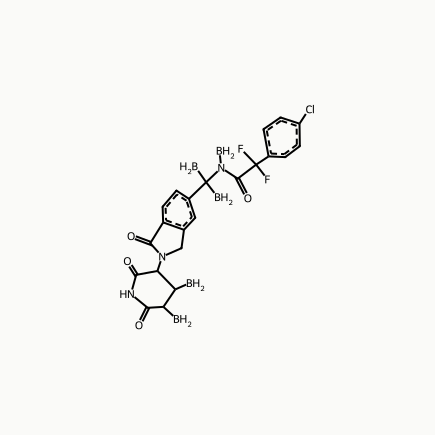 BC1C(=O)NC(=O)C(N2Cc3cc(C(B)(B)N(B)C(=O)C(F)(F)c4ccc(Cl)cc4)ccc3C2=O)C1B